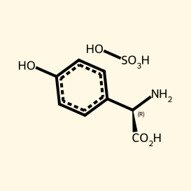 N[C@@H](C(=O)O)c1ccc(O)cc1.O=S(=O)(O)O